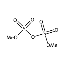 COS(=O)(=O)OS(=O)(=O)OC